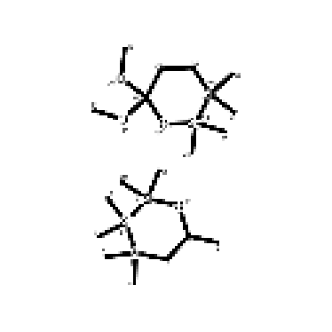 CC1C[Si](C)(C)[Si](C)(C)[Si](C)(C)O1.COC1(OC)CC[Si](C)(C)[Si](C)(C)O1